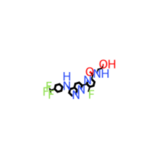 O=C(NCCO)c1ccc(CF)c(-c2ccc3c(Nc4ccc(C(F)(F)F)cc4)ccnc3n2)n1